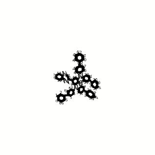 c1ccc(-c2ccc(N3c4ccc(-c5ccccc5)cc4B4c5cc(-c6ccccc6)ccc5N(c5ccc(-c6ccccc6)cc5)c5cc(-c6cnc7ccccc7n6)cc3c54)cc2)cc1